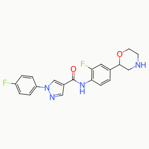 O=C(Nc1ccc(C2CNCCO2)cc1F)c1cnn(-c2ccc(F)cc2)c1